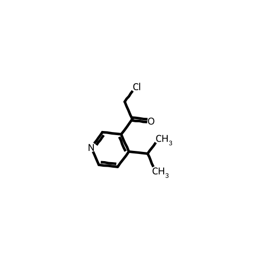 CC(C)c1ccncc1C(=O)CCl